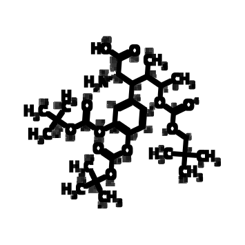 CC(OC(=O)OCC(C)(C)C)C(C)C(c1ccc(OC(=O)OC(C)(C)C)c(OC(=O)OC(C)(C)C)c1)[C@H](N)C(=O)O